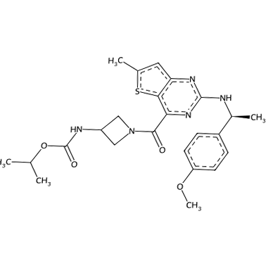 COc1ccc([C@H](C)Nc2nc(C(=O)N3CC(NC(=O)OC(C)C)C3)c3sc(C)cc3n2)cc1